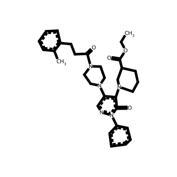 CCOC(=O)C1CCCN(c2c(N3CCN(C(=O)CCc4ccccc4C)CC3)cnn(-c3ccccc3)c2=O)C1